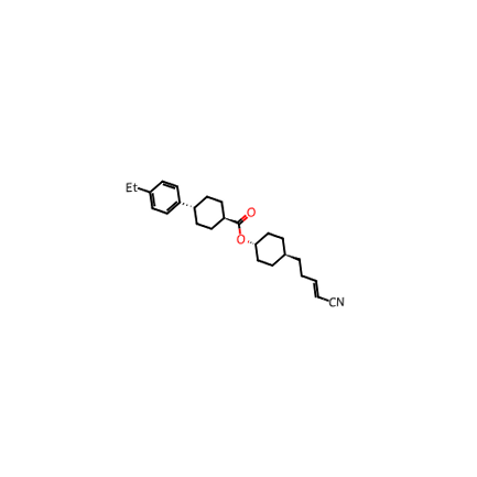 CCc1ccc([C@H]2CC[C@H](C(=O)O[C@H]3CC[C@H](CCC=CC#N)CC3)CC2)cc1